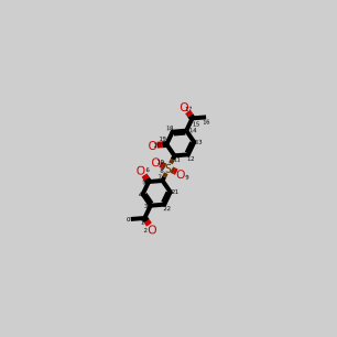 CC(=O)C1=CC(=O)C(S(=O)(=O)C2C=CC(C(C)=O)=CC2=O)C=C1